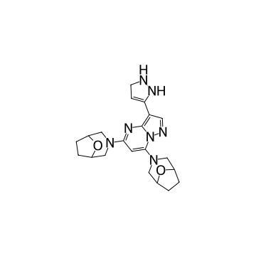 C1=C(c2cnn3c(N4CC5CCC(C4)O5)cc(N4CC5CCC(C4)O5)nc23)NNC1